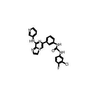 O=C(Nc1cccc(-c2cn3ccnc3c(Nc3cccnc3)n2)c1)Nc1ccc(F)c(Cl)c1